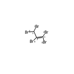 BrC(Br)=C(Br)C(Br)Br